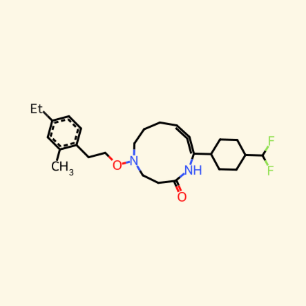 CCc1ccc(CCON2CCCC=C=C(C3CCC(C(F)F)CC3)NC(=O)CC2)c(C)c1